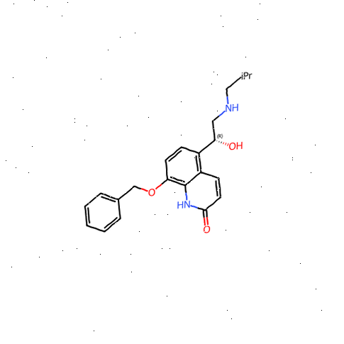 CC(C)CNC[C@H](O)c1ccc(OCc2ccccc2)c2[nH]c(=O)ccc12